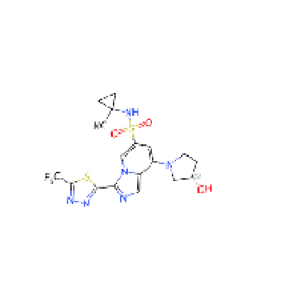 N#CC1(NS(=O)(=O)c2cc(N3CC[C@H](O)C3)c3cnc(-c4nnc(C(F)(F)F)s4)n3c2)CC1